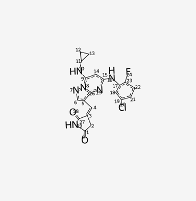 O=C1CC(=Cc2cnn3c(NC4CC4)cc(Nc4cc(Cl)ccc4F)nc23)C(=O)N1